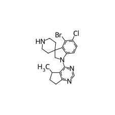 CC1CCc2ncnc(N3CC4(CCNCC4)c4c3ccc(Cl)c4Br)c21